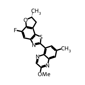 COc1cnc2c(-c3nc4cc(F)c5c(c4s3)C[C@@H](C)O5)cc(C)cc2n1